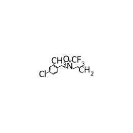 C=CCN(CCc1ccc(Cl)cc1C)C(=O)C(F)(F)F